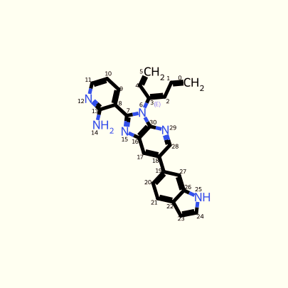 C=C/C=C(\C=C)n1c(-c2cccnc2N)nc2cc(-c3ccc4cc[nH]c4c3)cnc21